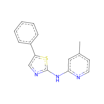 Cc1ccnc(Nc2ncc(-c3ccccc3)s2)c1